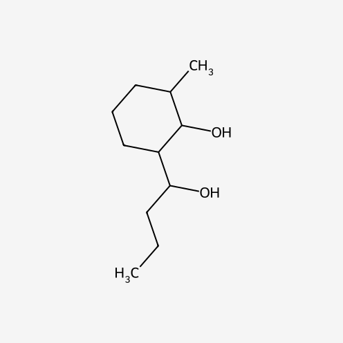 CCCC(O)C1CCCC(C)C1O